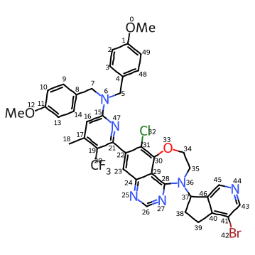 COc1ccc(CN(Cc2ccc(OC)cc2)c2cc(C)c(C(F)(F)F)c(-c3cc4ncnc5c4c(c3Cl)OCCN5C3CCc4c(Br)cncc43)n2)cc1